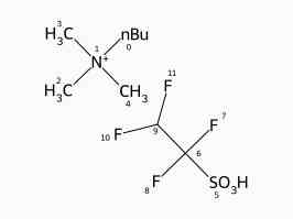 CCCC[N+](C)(C)C.O=S(=O)(O)C(F)(F)C(F)F